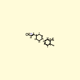 Cc1ccc([C@H]2CC[C@H](/C=C/Cl)CC2)cc1F